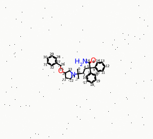 CC(C)(CCC(C(N)=O)(c1ccccc1)c1ccccc1)N1CCC(OCc2ccccc2)C1